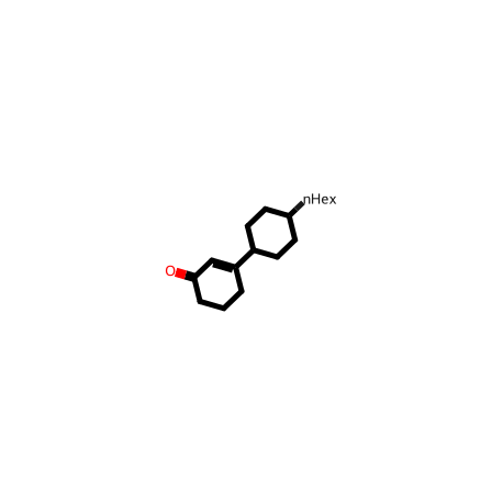 CCCCCCC1CCC(C2=CC(=O)CCC2)CC1